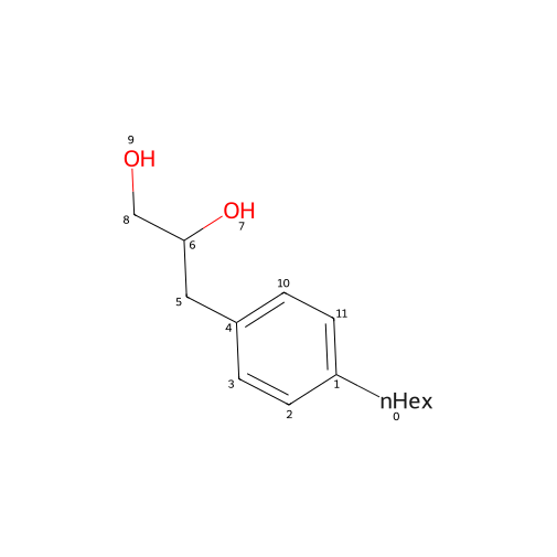 [CH2]CCCCCc1ccc(CC(O)CO)cc1